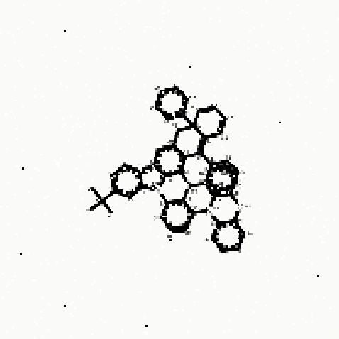 CC(C)(C)c1ccc2c3cc4c(c5c3n(c2c1)-c1cc#cc2c1B5c1cccc3c1N2c1ccccc1O3)C(c1ccccc1)=C1C=CC=CC1(c1ccccc1)C4